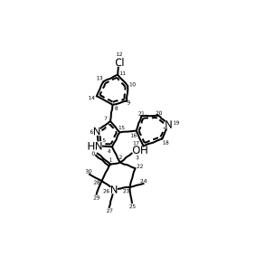 C=C1C(O)(c2[nH]nc(-c3ccc(Cl)cc3)c2-c2ccncc2)CC(C)(C)N(C)C1(C)C